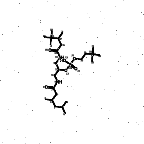 CC(C)CC(C)CC(=O)NCC(CNC(=O)CC(C)C(C)(C)C)OP(=O)(O)OCC[N+](C)(C)C